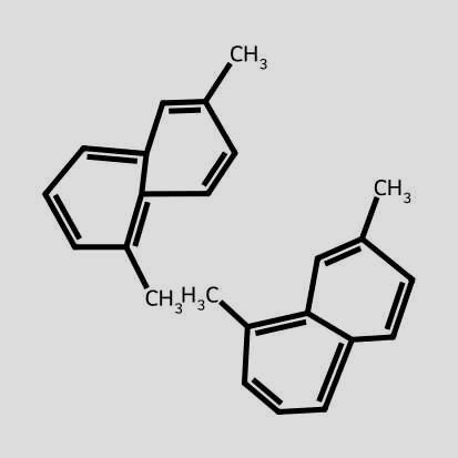 Cc1ccc2c(C)cccc2c1.Cc1ccc2cccc(C)c2c1